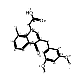 COc1cc(Cc2cn(CC(=O)O)c3c(C)cccc3c2=O)cc(OC)c1